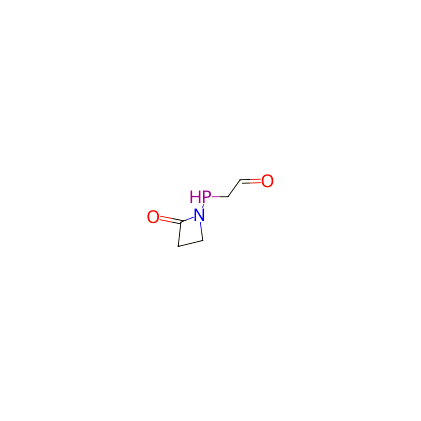 O=CCPN1CCC1=O